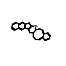 c1ccc2cc3c(cc2c#1)C1=C(C3)NC2C/C=c3/cccc/c3=C/CCC2C1